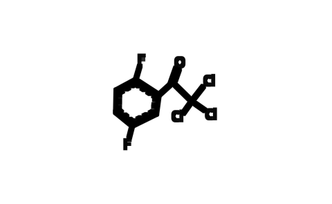 O=C(c1cc(F)ccc1F)C(Cl)(Cl)Cl